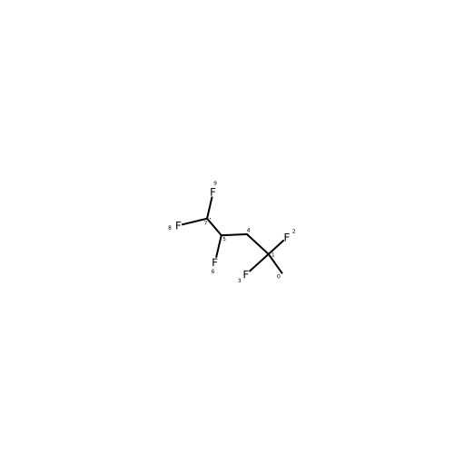 CC(F)(F)CC(F)[C](F)F